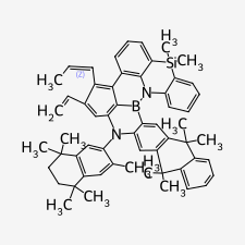 C=Cc1cc2c3c(c1/C=C\C)-c1cccc4c1N(B3c1cc3c(cc1N2c1cc2c(cc1C)C(C)(C)CCC2(C)C)C(C)(C)c1ccccc1C3(C)C)c1ccccc1[Si]4(C)C